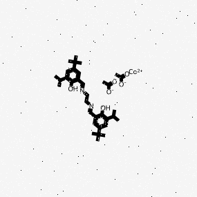 CC(=O)[O-].CC(=O)[O-].CC(C)c1cc(C(C)(C)C)cc(C=NCCN=Cc2cc(C(C)(C)C)cc(C(C)C)c2O)c1O.[Co+2]